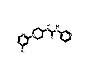 CC(=O)c1ccnc(N2CCC(NC(=S)Nc3cccnc3)CC2)c1